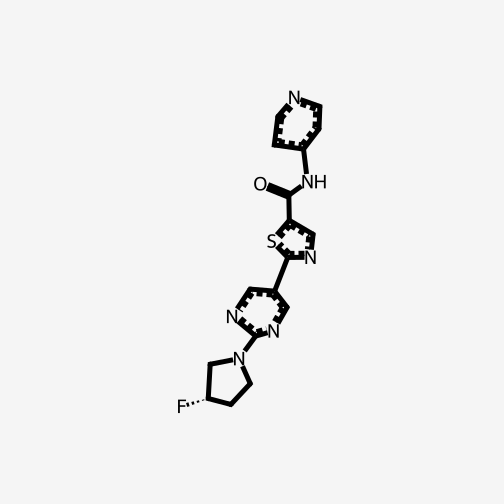 O=C(Nc1ccncc1)c1cnc(-c2cnc(N3CC[C@H](F)C3)nc2)s1